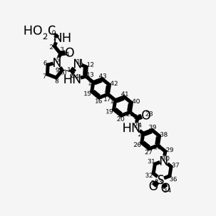 O=C(O)NCC(=O)N1CCC[C@H]1c1ncc(-c2ccc(-c3ccc(C(=O)Nc4ccc(CN5CCS(=O)(=O)CC5)cc4)cc3)cc2)[nH]1